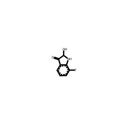 O=C1c2cccc(F)c2NC1O